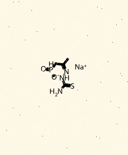 CC(C[PH](=O)[O-])=NNC(N)=S.[Na+]